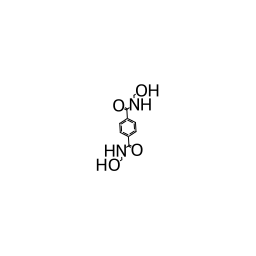 O=C(NCO)c1ccc(C(=O)NCO)cc1